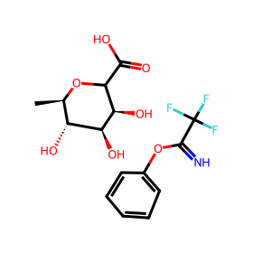 C[C@H]1OC(C(=O)O)[C@@H](O)[C@@H](O)[C@@H]1O.N=C(Oc1ccccc1)C(F)(F)F